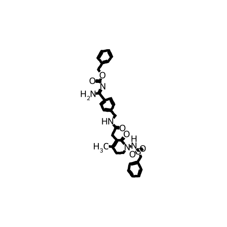 CC1=C(CC(=O)NCc2ccc(/C(N)=N/C(=O)OCc3ccccc3)cc2)C(=O)N(NS(=O)(=O)Cc2ccccc2)CC1